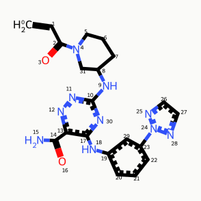 C=CC(=O)N1CCCC(Nc2nnc(C(N)=O)c(Nc3cccc(-n4nccn4)c3)n2)C1